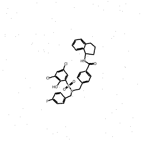 O=C(NC1CCCc2ccccc21)c1ccc(CN(Cc2ccc(F)cc2)S(=O)(=O)c2cc(Cl)cc(Cl)c2O)cc1